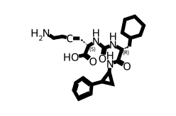 NCCCC[C@H](NC(=O)N[C@H](CC1CCCCC1)C(=O)NC1CC1c1ccccc1)C(=O)O